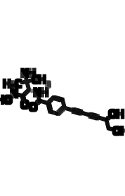 CC(C)(N)[C@H](NC(=O)c1ccc(C#CC#C[C@@H](O)CO)cc1)C(=O)NO